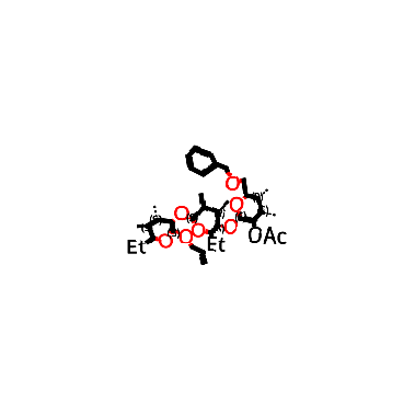 C=CCO[C@H]1OC(CC)[C@@H](C)[C@H](C)C1O[C@@H]1OC(CC)[C@@H](O[C@@H]2OC(COCc3ccccc3)[C@H](C)[C@H](C)C2OC(C)=O)[C@H](C)C1C